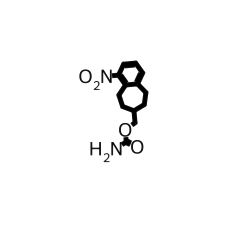 NC(=O)OCC1CCc2cccc([N+](=O)[O-])c2CC1